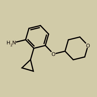 Nc1cccc(OC2CCOCC2)c1C1CC1